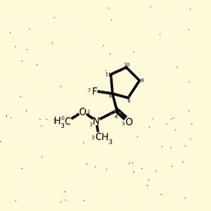 CON(C)C(=O)C1(F)CCCC1